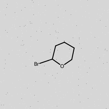 BrC1C[CH]CCO1